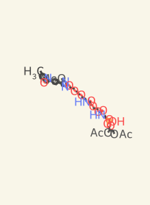 COc1nc(OCCOCCOCCNC(=O)COCCOC(=O)NCCOP(=O)(O)OCC(COC(C)=O)OC(C)=O)ncc1-c1ccc(C2=Nc3cc(C)ccc3OC2)cc1